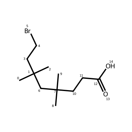 CC(C)(CCBr)CC(C)(C)CCC(=O)O